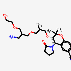 CC(COCC(CN)COCCO)CO[C@H]1[C@H](N2CCCC2=O)c2cc(C#N)ccc2OC1(C)C